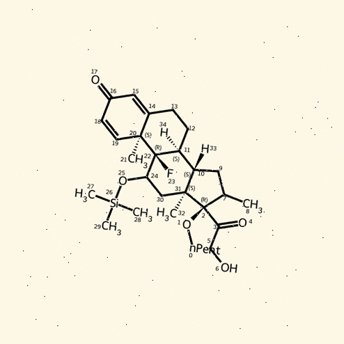 CCCCCO[C@]1(C(=O)CO)C(C)C[C@H]2[C@@H]3CCC4=CC(=O)C=C[C@]4(C)[C@@]3(F)C(O[Si](C)(C)C)C[C@@]21C